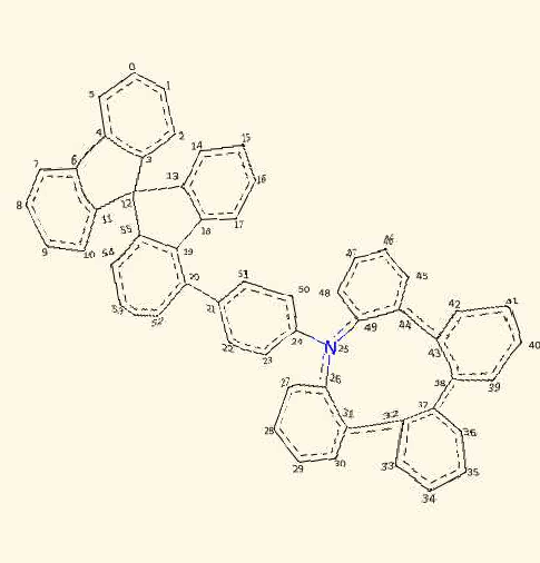 c1ccc2c(c1)-c1ccccc1C21c2ccccc2-c2c(-c3ccc(-n4c5ccccc5c5ccccc5c5ccccc5c5ccccc54)cc3)cccc21